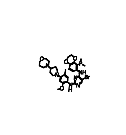 COc1cc(N2CCC(N3CCCOCC3)CC2)c(C)cc1Nc1ncc(Br)c(Nc2ccc3c(c2P(C)C)OCCO3)n1